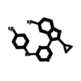 FC(F)(F)c1ccc(Nc2cncc(-c3c(C4CC4)nc4ccc(C(F)(F)F)cn34)n2)cc1